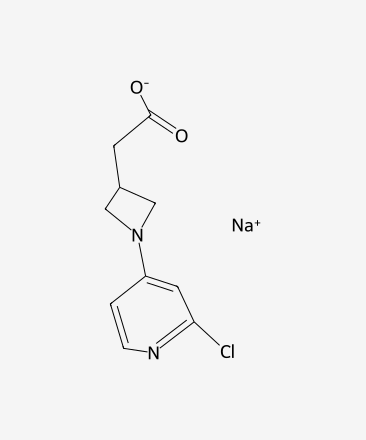 O=C([O-])CC1CN(c2ccnc(Cl)c2)C1.[Na+]